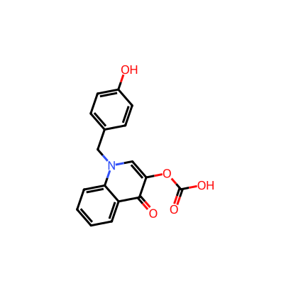 O=C(O)Oc1cn(Cc2ccc(O)cc2)c2ccccc2c1=O